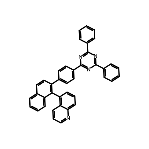 c1ccc(-c2nc(-c3ccccc3)nc(-c3ccc(-c4ccc5ccccc5c4-c4cccc5ncccc45)cc3)n2)cc1